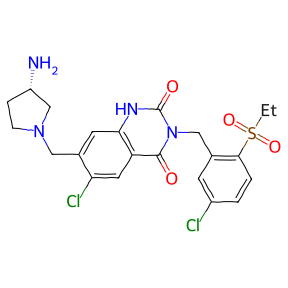 CCS(=O)(=O)c1ccc(Cl)cc1Cn1c(=O)[nH]c2cc(CN3CC[C@H](N)C3)c(Cl)cc2c1=O